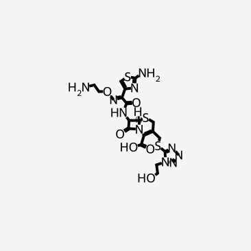 NCCON=C(C(=O)NC1C(=O)N2C(C(=O)O)=C(CSc3nnnn3CCO)CS[C@@H]12)c1csc(N)n1